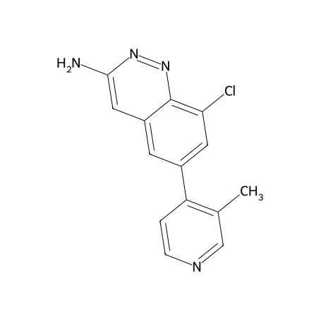 Cc1cnccc1-c1cc(Cl)c2nnc(N)cc2c1